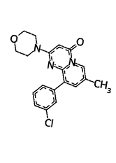 Cc1cc(-c2cccc(Cl)c2)c2nc(N3CCOCC3)cc(=O)n2c1